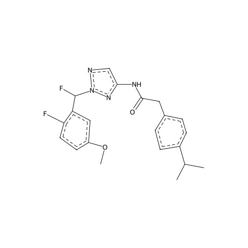 COc1ccc(F)c(C(F)n2ncc(NC(=O)Cc3ccc(C(C)C)cc3)n2)c1